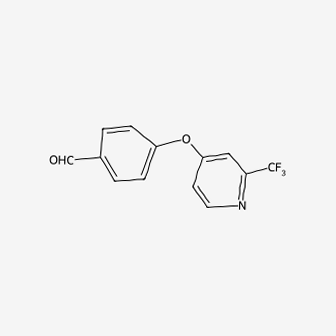 O=Cc1ccc(Oc2ccnc(C(F)(F)F)c2)cc1